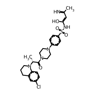 CC(=N)/C=C(\O)NS(=O)(=O)c1ccc(N2CCN(C(=O)[C@@H](C)N3CCCc4cc(Cl)ccc43)CC2)cc1